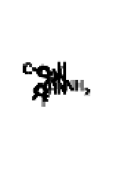 Cc1ccc(-c2nc(NC(=N)N)nc3ccc(Cl)cc23)cc1F